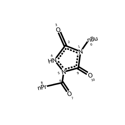 CCCCn1c(=O)[nH]n(C(=O)CCC)c1=O